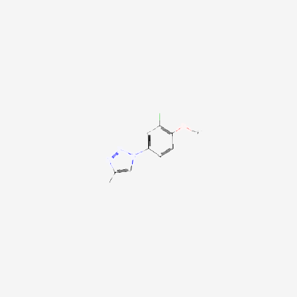 CCOC(=O)c1cn(-c2ccc(OC(C)C)c(Cl)c2)nn1